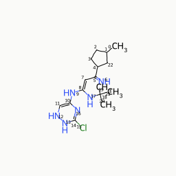 CC1CCC(C(=N)/C=C(/NC2=CNNC(Cl)=N2)NC(C)(C)C)C1